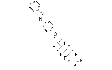 FC(F)C(F)(F)C(F)(F)C(F)(F)C(F)(F)C(F)(F)COc1ccc(/N=N/c2ccccc2)cc1